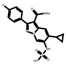 CCCS(=O)(=O)Nc1cn2nc(-c3ccc(F)cc3)c(C(=O)NC)c2cc1C1CC1